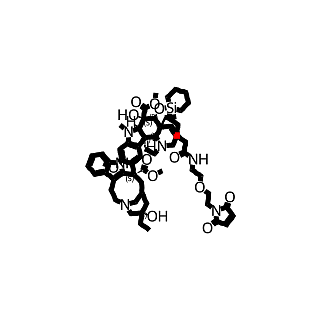 CC[C@]1(O)CC2CN(CCc3c([nH]c4ccccc34)[C@@](C(=O)OC)(c3cc4c(cc3OC)N(C)[C@H]3[C@@](O)(C(=O)OC)[C@H](O[Si]5(CCCCC(=O)NCCOCCN6C(=O)C=CC6=O)CCCCC5)[C@]5(CC)C=CCN6CC[C@]43[C@@H]65)C2)C1